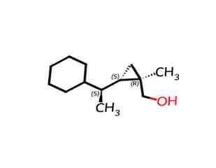 C[C@@H](C1CCCCC1)[C@@H]1C[C@@]1(C)CO